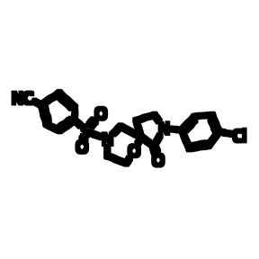 N#Cc1ccc(S(=O)(=O)N2CCOC3(CCN(c4ccc(Cl)cc4)C3=O)C2)cc1